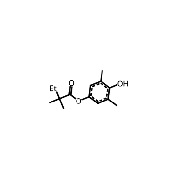 CCC(C)(C)C(=O)Oc1cc(C)c(O)c(C)c1